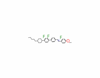 CCCCCC1CCC(c2ccc(-c3ccc(/C=C/c4ccc(OCC)cc4F)cc3)c(F)c2F)CC1